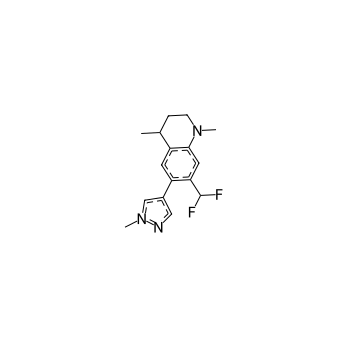 CC1CCN(C)c2cc(C(F)F)c(-c3cnn(C)c3)cc21